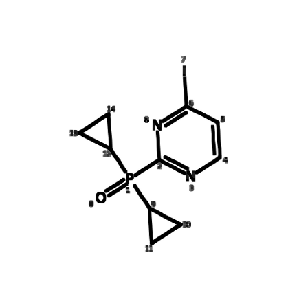 O=P(c1nccc(I)n1)(C1CC1)C1CC1